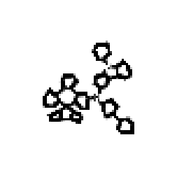 c1ccc(-c2ccc(N(c3ccc4c(c3)-c3ccccc3-c3ccccc3C43c4ccccc4-c4ccccc43)c3ccc4c(c3)c3ccccc3n4-c3ccccc3)cc2)cc1